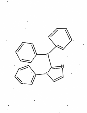 c1ccc(N(c2ccccc2)c2nccn2-c2ccccc2)cc1